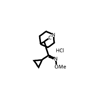 CON=C(C1CC1)C1CN2CCC1CC2.Cl